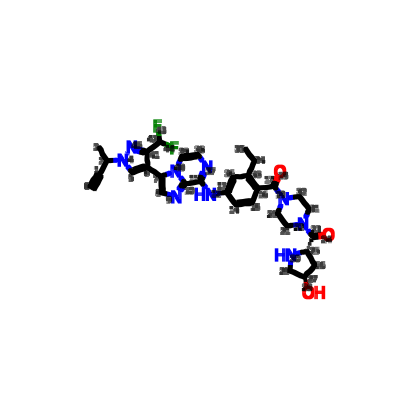 C#CC(C)n1cc(-c2cnc3c(Nc4ccc(C(=O)N5CCN(C(=O)[C@@H]6C[C@@H](O)CN6)CC5)c(CC)c4)nccn23)c(C(F)F)n1